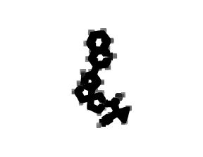 N#CC1(C(=O)N2CCC3(CCn4nc(-c5cnc6ccccc6c5)cc43)C2)CC1